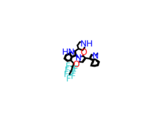 Cn1cc(C2=CC(=O)N(c3c(C4CCNCC4)[nH]c4cccc(CC(F)(F)C(F)(F)C(F)(F)F)c34)C2=O)c2ccccc21